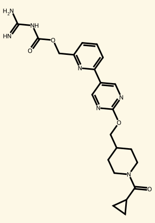 N=C(N)NC(=O)OCc1cccc(-c2cnc(OCC3CCN(C(=O)C4CC4)CC3)nc2)n1